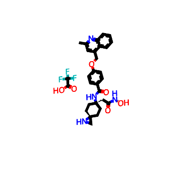 Cc1cc(COc2ccc(C(=O)N[C@]3(CC(=O)NO)CC[C@@]4(CC3)CN4)cc2)c2ccccc2n1.O=C(O)C(F)(F)F